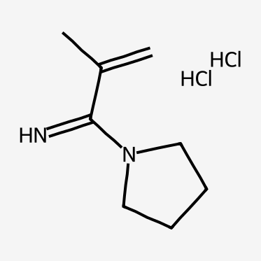 C=C(C)C(=N)N1CCCC1.Cl.Cl